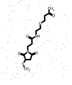 CSC1CC(=O)N(CCC(=O)NCCOCCC(C)=O)C1=O